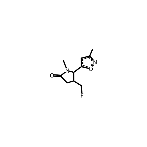 Cc1cc(C2C(CF)CC(=O)N2C)on1